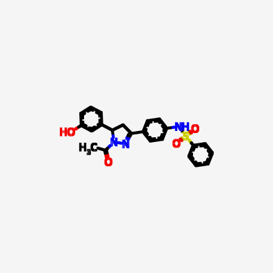 CC(=O)N1N=C(c2ccc(NS(=O)(=O)c3ccccc3)cc2)CC1c1cccc(O)c1